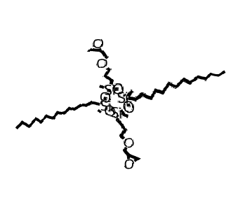 CCCCCCCCCCCCCC[Si]1(C)O[Si](C)(CCCOCC2CO2)O[Si](C)(CCCCCCCCCCCCCC)O[Si](C)(CCCOCC2CO2)O1